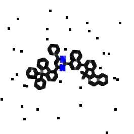 CC1(C)c2ccc3ccccc3c2-c2cccc(-c3ccc(-c4nc(-c5ccccc5)cc(-c5cccc6c5-c5ccccc5C6(c5ccccc5)c5ccccc5)n4)c4ccccc34)c21